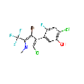 Cn1c(Cl)c(-c2cc(O)c(Cl)cc2F)c(Br)c1C(F)(F)F